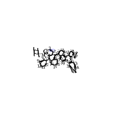 C/C=C\C1=C(C)C(C2C=CCCC2)C2CCC=CC2=C1c1cccc2c(-c3cccnc3-c3ccncc3)cccc12